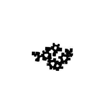 NC(=O)c1cc(N[C@H]2CCNC2=O)nc(-c2ccc3ncn(-c4ccc(C(F)(F)F)cc4)c3c2)n1